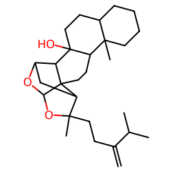 C=C(CCC1(C)OC2OC3CC1C21CCC2C4(C)CCCCC4CCC2(O)C31)C(C)C